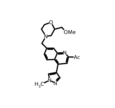 COCC1CN(Cc2ccc3c(-c4cnn(C)c4)cc(C(C)=O)nc3c2)CCO1